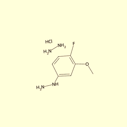 COc1cc(NN)ccc1F.Cl.NN